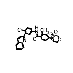 Cc1cc(N2CCOCS2(=O)=O)ccc1C(=O)Nc1ccc(Cl)c(-c2ccc3ccccc3n2)c1